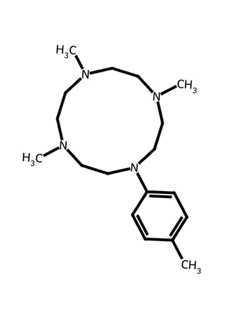 Cc1ccc(N2CCN(C)CCN(C)CCN(C)CC2)cc1